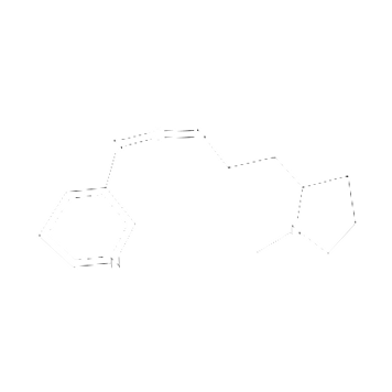 CN1CCCC1CCN=C=Nc1cccnc1